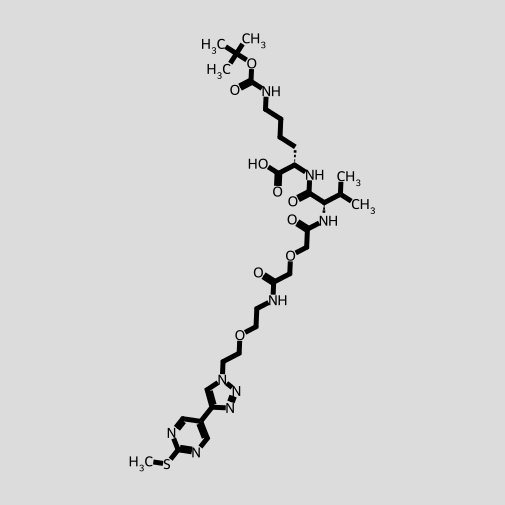 CSc1ncc(-c2cn(CCOCCNC(=O)COCC(=O)N[C@H](C(=O)N[C@@H](CCCCNC(=O)OC(C)(C)C)C(=O)O)C(C)C)nn2)cn1